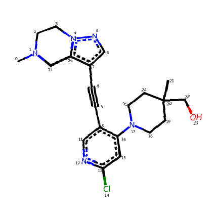 CN1CCn2ncc(C#Cc3cnc(Cl)cc3N3CCC(C)(CO)CC3)c2C1